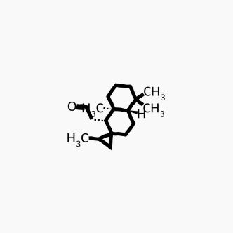 CC1CC12CC[C@H]1C(C)(C)CCC[C@]1(C)[C@H]2CC=O